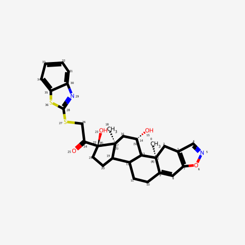 C[C@]12Cc3cnoc3C=C1CCC1C2[C@@H](O)C[C@@]2(C)C1CC[C@]2(O)C(=O)CSc1nc2ccccc2s1